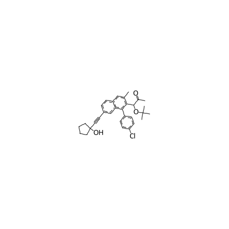 CC(=O)C(OC(C)(C)C)c1c(C)cc2ccc(C#CC3(O)CCCC3)cc2c1-c1ccc(Cl)cc1